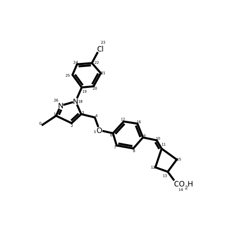 Cc1cc(COc2ccc(C=C3CC(C(=O)O)C3)cc2)n(-c2ccc(Cl)cc2)n1